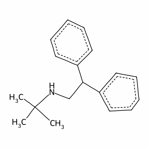 CC(C)(C)NCC(c1ccccc1)c1ccccc1